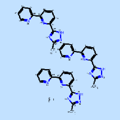 FC(F)(F)c1n[nH]c(-c2cccc(-c3ccccn3)n2)n1.FC(F)(F)c1n[nH]c(-c2cccc(-c3ccccn3)n2)n1.FC(F)(F)c1n[nH]c(-c2cccc(-c3ccccn3)n2)n1.[Sm]